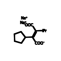 CC(C)C(C(=O)[O-])=C(C(=O)[O-])C1CCCC1.[Na+].[Na+]